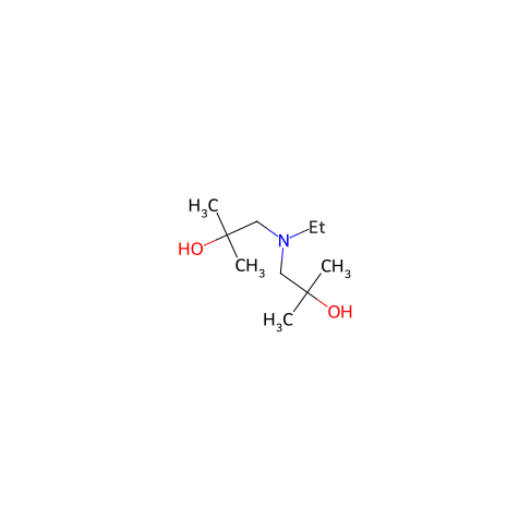 CCN(CC(C)(C)O)CC(C)(C)O